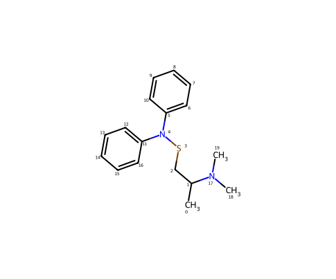 CC(CSN(c1ccccc1)c1ccccc1)N(C)C